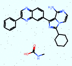 CNC(=O)O.Nc1nccn2c(C3CCCCC3)nc(-c3ccc4ncc(-c5ccccc5)nc4c3)c12